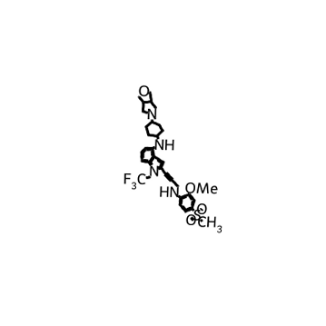 COc1cc(S(C)(=O)=O)ccc1NCC#Cc1cc2c(NC3CCC(N4CC5COCC5C4)CC3)cccc2n1CC(F)(F)F